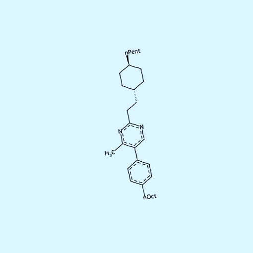 CCCCCCCCc1ccc(-c2cnc(CC[C@H]3CC[C@H](CCCCC)CC3)nc2C)cc1